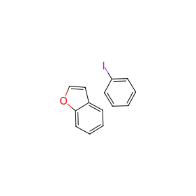 Ic1ccccc1.c1ccc2occc2c1